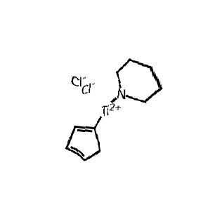 C1=CC[C]([Ti+2][N]2CCCCC2)=C1.[Cl-].[Cl-]